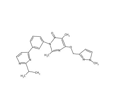 Cc1c(OCc2ccn(C)n2)nc(C)n(-c2cccc(-c3ccnc(C(C)C)n3)c2)c1=O